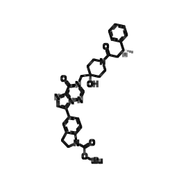 C[C@H](CC(=O)N1CCC(O)(Cn2cnn3c(-c4ccc5c(c4)CCN5C(=O)OC(C)(C)C)cnc3c2=O)CC1)c1ccccc1